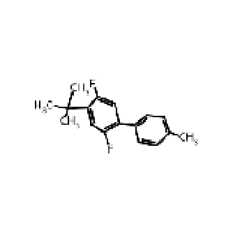 Cc1ccc(-c2cc(F)c(C(C)(C)C)cc2F)cc1